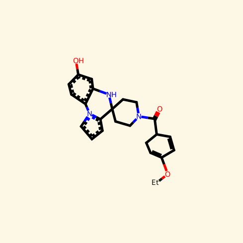 CCOC1=CCC(C(=O)N2CCC3(CC2)Nc2cc(O)ccc2-n2cccc23)C=C1